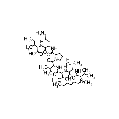 CCCCCCN(C)[C@@H](C(=O)N[C@H](C(=O)N[C@H](C(=O)N[C@@H](C(=O)N1CCC[C@@H]1C(=O)N[C@@H](CCCN)C(=O)N[C@@H](C(=O)O)[C@@H](C)CC)C(C)C)C(C)C)[C@@H](C)O)C(C)C